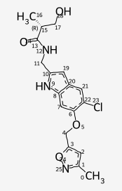 Cc1cc(COc2cc3[nH]c(CNC(=O)[C@H](C)CO)cc3cc2Cl)on1